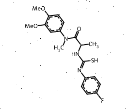 COc1ccc(N(C)C(=O)C(C)NC(S)=Nc2ccc(F)cc2)cc1OC